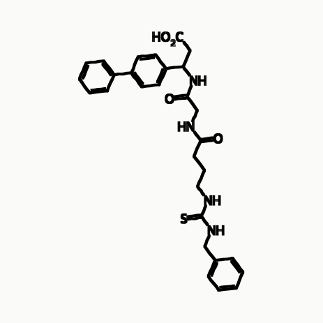 O=C(O)CC(NC(=O)CNC(=O)CCCNC(=S)NCc1ccccc1)c1ccc(-c2ccccc2)cc1